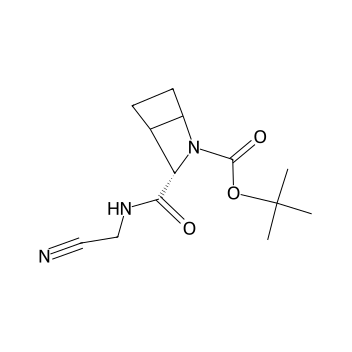 CC(C)(C)OC(=O)N1C2CCC2[C@H]1C(=O)NCC#N